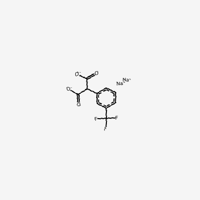 O=C([O-])C(C(=O)[O-])c1cccc(C(F)(F)F)c1.[Na+].[Na+]